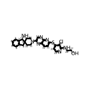 N[C@@H]1c2ccccc2CC12CCN(c1cnc3nc(Sc4ccnc(NCCO)c4Cl)ccc3n1)CC2